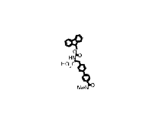 CNC(=O)c1ccc(-c2ccc(C[C@H](NC(=O)OCC3c4ccccc4-c4ccccc43)C(=O)O)cc2)cc1